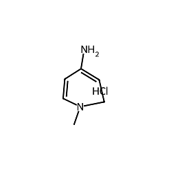 CN1C=CC(N)=CC1.Cl